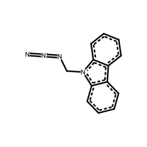 [N-]=[N+]=NCn1c2ccccc2c2ccccc21